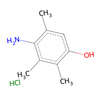 Cc1cc(O)c(C)c(C)c1N.Cl